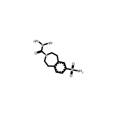 CCCN(CCC)C(=O)N1CCc2ccc(S(N)(=O)=O)cc2CC1